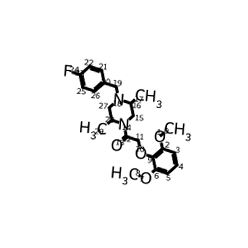 COc1cccc(OC)c1OCC(=O)N1CC(C)N(Cc2ccc(F)cc2)CC1C